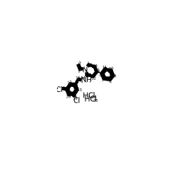 CCN1CC[C@@H](c2ccccc2)CC1NCc1cc(Cl)cc(Cl)c1.Cl.Cl